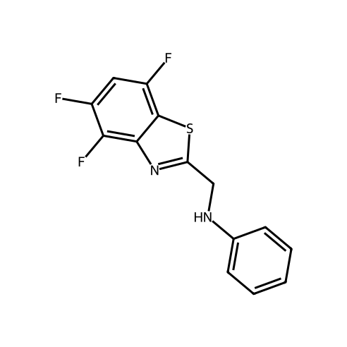 Fc1cc(F)c2sc(CNc3ccccc3)nc2c1F